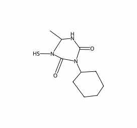 CC1NC(=O)N(C2CCCCC2)C(=O)N1S